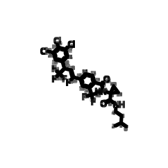 CC(C)CCNC(=O)C1(NC(=O)c2ccc(C(F)=CC(c3cc(Cl)c(Cl)c(Cl)c3)C(F)(F)F)cc2C(F)(F)F)CC1